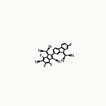 N#CC(C#N)=C1c2cc(F)ccc2-c2ccc(C3=C(C#N)c4c(F)c(F)c(C#N)c(F)c4C3=C(C#N)C#N)cc21